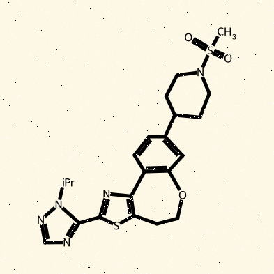 CC(C)n1ncnc1-c1nc2c(s1)CCOc1cc(C3CCN(S(C)(=O)=O)CC3)ccc1-2